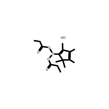 CCC(=O)[O][Ti]([O]C(=O)CC)[C]1=C(C)C(C)=C(C)C1(C)C.Cl